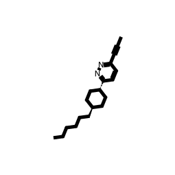 CC#Cc1ccc([C@H]2CC[C@H](CCCCCC)CC2)nn1